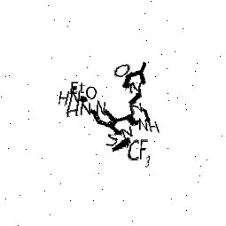 [CH2]C1CN(CCN2CCNCC2c2cnc(NC(=O)NCC)cc2-c2nc(C(F)(F)F)cs2)CC1=O